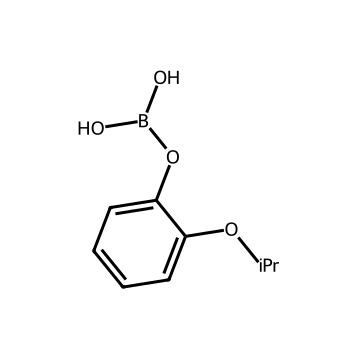 CC(C)Oc1ccccc1OB(O)O